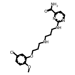 COc1ccc(Cl)cc1OCCCNCCCNc1nccc(C(N)=O)n1